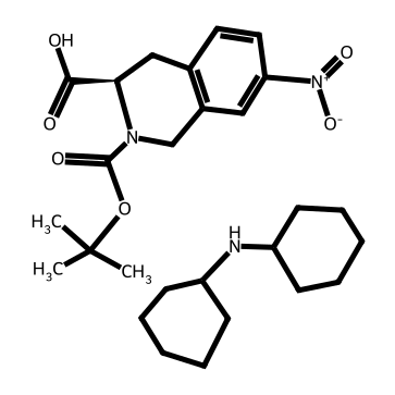 C1CCC(NC2CCCCC2)CC1.CC(C)(C)OC(=O)N1Cc2cc([N+](=O)[O-])ccc2C[C@@H]1C(=O)O